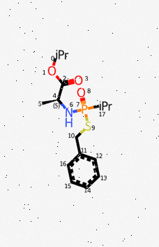 CC(C)OC(=O)[C@H](C)NP(=O)(SCc1ccccc1)C(C)C